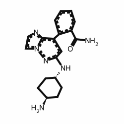 NC(=O)c1ccccc1-c1cc(N[C@H]2CC[C@H](N)CC2)nn2ccnc12